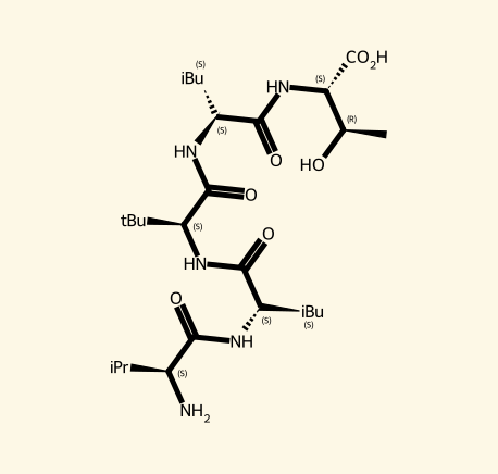 CC[C@H](C)[C@H](NC(=O)[C@@H](N)C(C)C)C(=O)N[C@H](C(=O)N[C@H](C(=O)N[C@H](C(=O)O)[C@@H](C)O)[C@@H](C)CC)C(C)(C)C